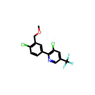 COCc1cc(-c2ncc(C(F)(F)F)cc2Cl)ccc1Cl